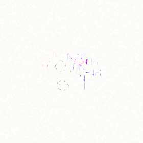 N=C(N)NC(=N)N.O=C(O)c1cc(C(=O)O)c(Cl)c(-c2ccccc2)c1